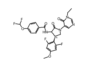 CCn1cncc(N2C[C@@H](c3c(F)cc(OC)cc3F)C(NC(=O)c3ccc(OC(F)F)cc3)C2=O)c1=O